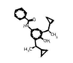 C[C@@H](c1cc(NC(=O)c2ccccc2)cc([C@H](C)C2CC2)c1O)C1CC1